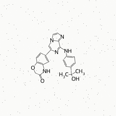 CC(C)(O)c1ccc(Nc2nc(-c3ccc4c(c3)NC(=O)CO4)cn3ccnc23)cc1